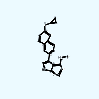 CC(C)Nc1ncnc2[nH]cc(-c3ccc4cc(OC5CC5)ccc4c3)c12